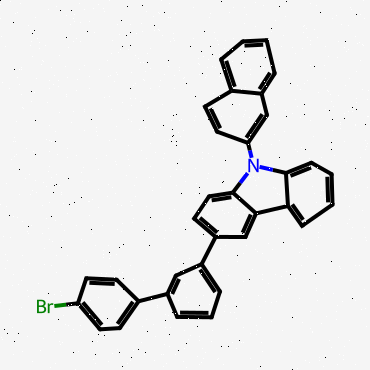 Brc1ccc(-c2cccc(-c3ccc4c(c3)c3ccccc3n4-c3ccc4ccccc4c3)c2)cc1